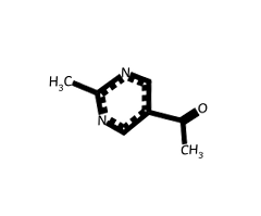 CC(=O)c1cnc(C)nc1